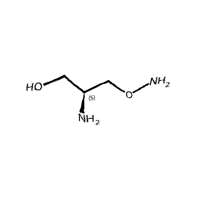 NOC[C@@H](N)CO